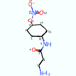 NCCC(=O)N[C@H]1CC[C@@H](O[N+](=O)[O-])CC1